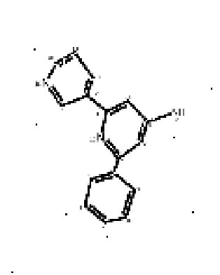 Sc1cc(-c2ccccc2)nc(-c2cccnc2)c1